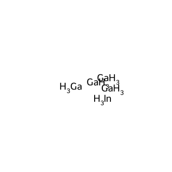 [GaH3].[GaH3].[GaH3].[GaH3].[InH3]